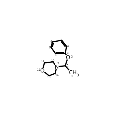 CC(Oc1[c]cccc1)N1CCOCC1